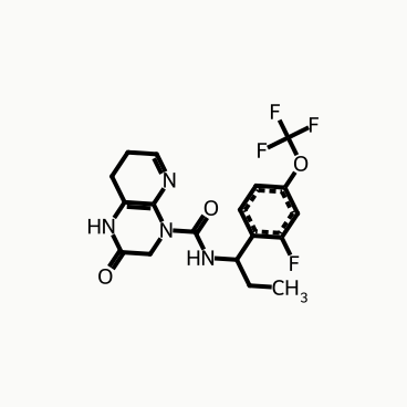 CCC(NC(=O)N1CC(=O)NC2=C1N=CCC2)c1ccc(OC(F)(F)F)cc1F